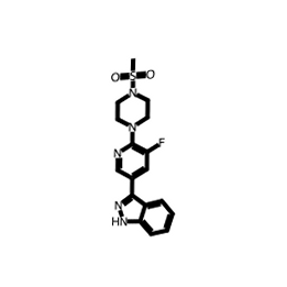 CS(=O)(=O)N1CCN(c2ncc(-c3n[nH]c4ccccc34)cc2F)CC1